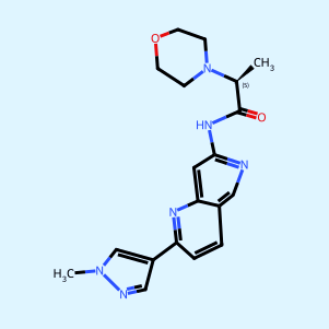 C[C@@H](C(=O)Nc1cc2nc(-c3cnn(C)c3)ccc2cn1)N1CCOCC1